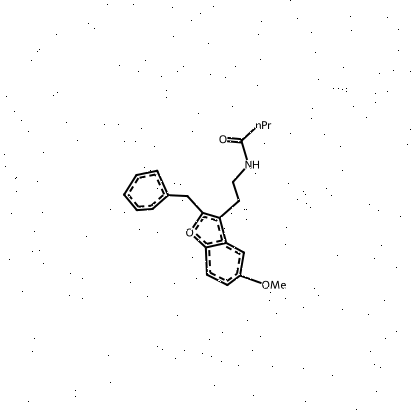 CCCC(=O)NCCc1c(Cc2ccccc2)oc2ccc(OC)cc12